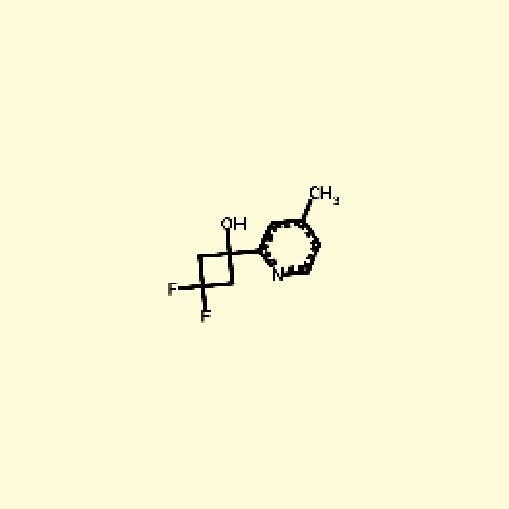 Cc1ccnc(C2(O)CC(F)(F)C2)c1